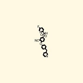 N#Cc1cc(S(=O)(=O)Nc2ccc(F)cn2)ccc1Oc1ccc(Cc2cccnc2)cc1